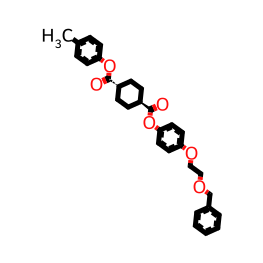 Cc1ccc(OC(=O)[C@H]2CC[C@H](C(=O)Oc3ccc(OCCOCc4ccccc4)cc3)CC2)cc1